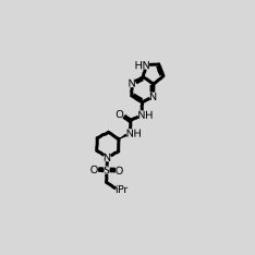 CC(C)CS(=O)(=O)N1CCC[C@@H](NC(=O)Nc2cnc3[nH]ccc3n2)C1